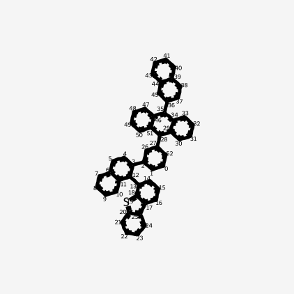 c1cc(-c2ccc3ccccc3c2-c2cccc3c2sc2ccccc23)cc(-c2c3ccccc3c(-c3ccc4ccccc4c3)c3ccccc23)c1